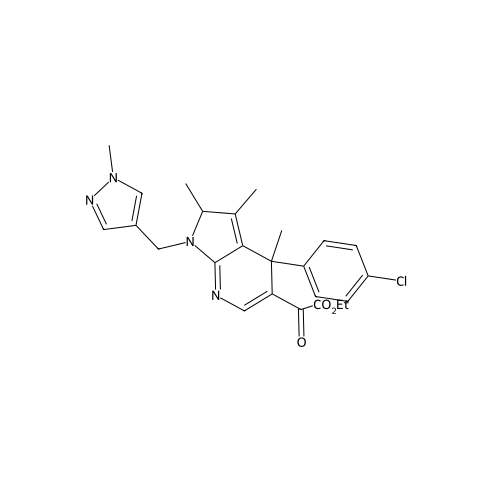 CCOC(=O)C(=O)C1=CN=C2C(=C(C)C(C)N2Cc2cnn(C)c2)C1(C)c1ccc(Cl)cc1